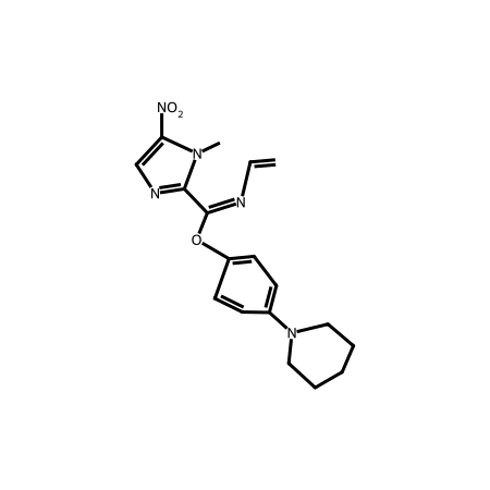 C=CN=C(Oc1ccc(N2CCCCC2)cc1)c1ncc([N+](=O)[O-])n1C